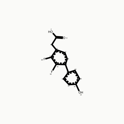 O=C(O)Cc1ccc(-c2ccc(O)cc2)c(F)c1F